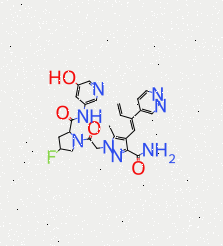 C=C/C(=C\c1c(C(N)=O)nn(CC(=O)N2CC(F)CC2C(=O)Nc2cncc(O)c2)c1C)c1ccnnc1